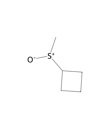 C[S+]([O-])C1CCC1